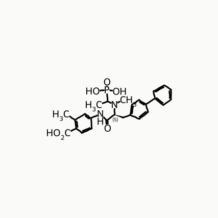 Cc1cc(NC(=O)[C@H](Cc2ccc(-c3ccccc3)cc2)N(C)C(C)P(=O)(O)O)ccc1C(=O)O